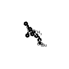 Cn1nc(-c2ccc(OCc3ccccc3)nc2OCc2ccccc2)c2cccc(N3CCC(CC4CCN(C(=O)OC(C)(C)C)CC4)CC3)c21